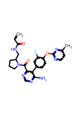 C=CC(=O)NCC1CCCN1C(=O)c1ncnc(N)c1-c1ccc(Oc2nccc(C)n2)c(F)c1